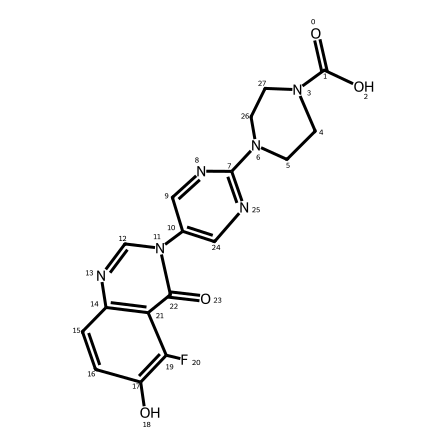 O=C(O)N1CCN(c2ncc(-n3cnc4ccc(O)c(F)c4c3=O)cn2)CC1